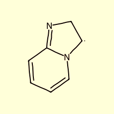 [CH]1CN=C2C=CC=CN12